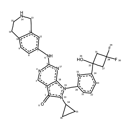 O=c1c2cnc(Nc3ccc4c(c3)CNCC4)nc2n(-c2cccc(C3(O)CC(F)(F)C3)n2)n1C1CC1